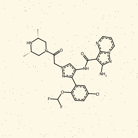 C[C@@H]1CN(C(=O)Cn2cc(NC(=O)c3c(N)nn4cccnc34)c(-c3cc(Cl)ccc3OC(F)F)n2)C[C@H](C)N1